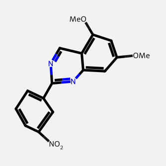 COc1cc(OC)c2cnc(-c3cccc([N+](=O)[O-])c3)nc2c1